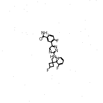 NC(=O)c1ccc(F)c(-c2cnc(NCC3(c4ncccc4F)CC(F)C3)nn2)c1